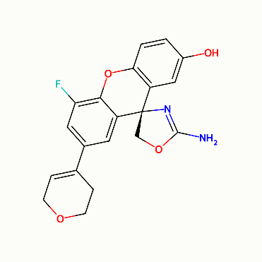 NC1=N[C@@]2(CO1)c1cc(O)ccc1Oc1c(F)cc(C3=CCOCC3)cc12